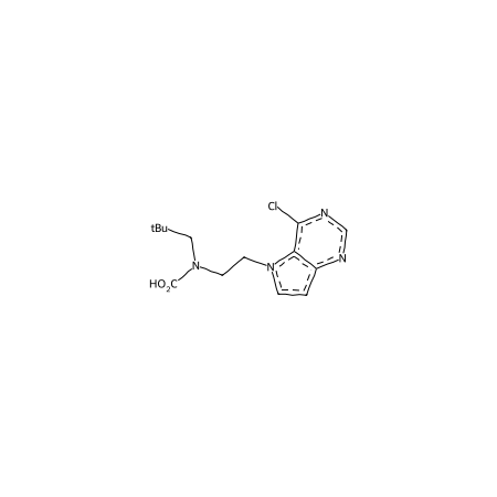 CC(C)(C)CN(CCn1ccc2ncnc(Cl)c21)C(=O)O